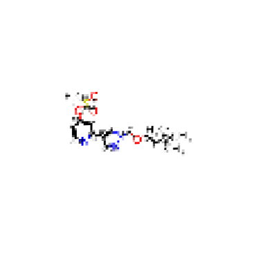 C[Si](C)(C)CCOCn1cc(-c2cc(OS(=O)(=O)C(F)(F)F)ccn2)cn1